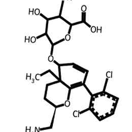 CCC12CC[C@H](CN)OC1=C(c1c(Cl)cccc1Cl)C=CC2OC1OC(C(=O)O)C(O)C(O)C1O